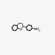 Nc1ccc(C2CCc3ccccc3O2)cc1